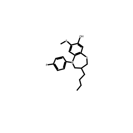 CCCCC1CSc2cc(O)c(SC)cc2N(c2ccc(F)cc2)C1